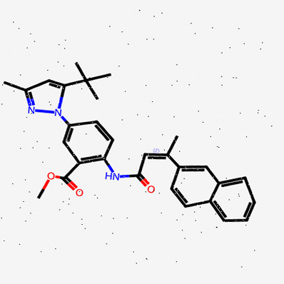 COC(=O)c1cc(-n2nc(C)cc2C(C)(C)C)ccc1NC(=O)/C=C(/C)c1ccc2ccccc2c1